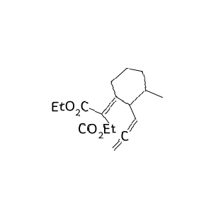 C=C=CC1C(=C(C(=O)OCC)C(=O)OCC)CCCC1C